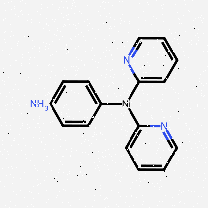 N.c1cc[c]([Ni]([c]2ccccn2)[c]2ccccn2)cc1